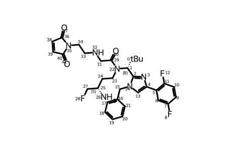 CC(C)(C)[C@H](c1nc(-c2cc(F)ccc2F)cn1Cc1ccccc1)N(CC[C@H](N)CF)C(=O)CNCCN1C(=O)C=CC1=O